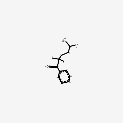 CCC(CCC(C)(C)C(=O)c1ccccc1)C(C)(C)C